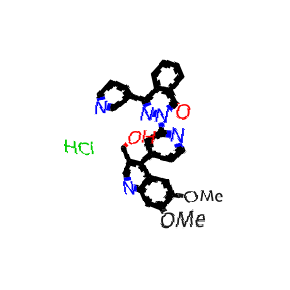 COc1cc2ncc(CO)c(-c3ccnc(-n4nc(-c5cccnc5)c5ccccc5c4=O)c3)c2cc1OC.Cl